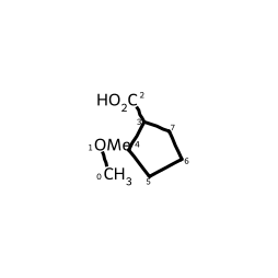 COC.O=C(O)C1CCCC1